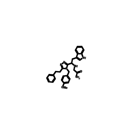 COc1ccc(Cn2c(CCc3ccccc3)nnc2C(Cc2c[nH]c3ccccc23)NCC(N)=O)cc1